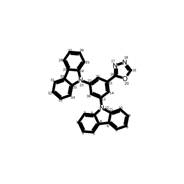 c1ccc2c(c1)c1ccccc1n2-c1cc(-c2nnco2)cc(-n2c3ccccc3c3ccccc32)c1